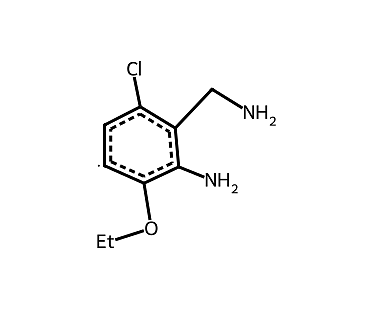 CCOc1[c]cc(Cl)c(CN)c1N